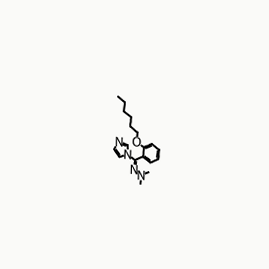 CCCCCCOc1ccccc1/C(=N\N(C)C)n1ccnc1